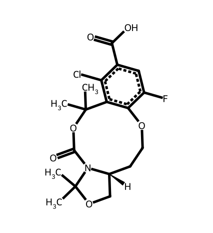 CC1(C)OC(=O)N2[C@H](CCOc3c(F)cc(C(=O)O)c(Cl)c31)COC2(C)C